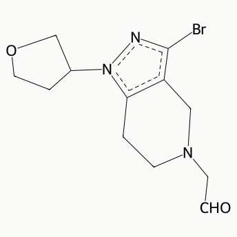 O=CCN1CCc2c(c(Br)nn2C2CCOC2)C1